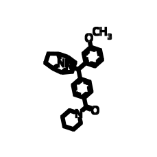 COc1cccc(C(c2ccc(C(=O)N3CCCCC3)cc2)N2C3CCC2C2CCC3N2)c1